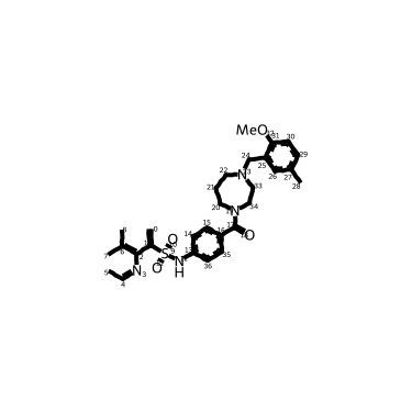 C=C(C(/N=C\C)=C(C)C)S(=O)(=O)Nc1ccc(C(=O)N2CCCN(Cc3cc(C)ccc3OC)CC2)cc1